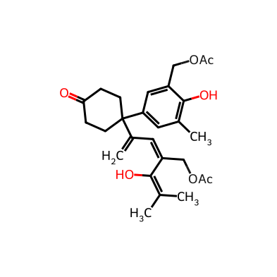 C=C(/C=C(/COC(C)=O)C(O)=C(C)C)C1(c2cc(C)c(O)c(COC(C)=O)c2)CCC(=O)CC1